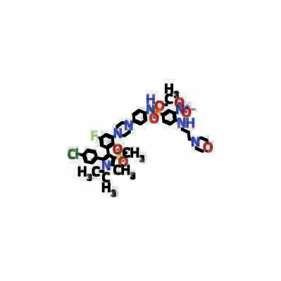 CCOP(=O)(Nc1ccc(N2CCN(c3cc(F)cc(-c4c(S(C)(=O)=O)c(C)n(C(C)C)c4-c4ccc(Cl)cc4)c3)CC2)cc1)c1ccc(NCCCN2CCOCC2)c([N+](=O)[O-])c1